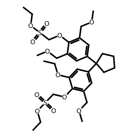 CCOc1cc(C2(c3cc(COC)c(OCS(=O)(=O)OCC)c(COC)c3)CCCC2)cc(COC)c1OCS(=O)(=O)OCC